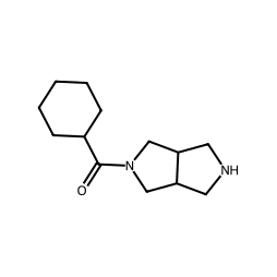 O=C(C1CCCCC1)N1CC2CNCC2C1